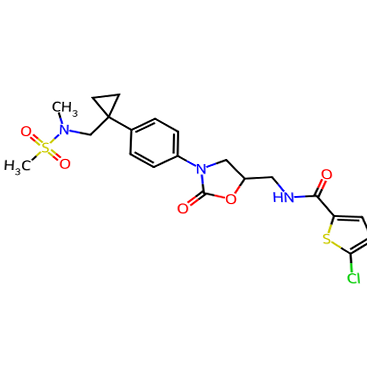 CN(CC1(c2ccc(N3CC(CNC(=O)c4ccc(Cl)s4)OC3=O)cc2)CC1)S(C)(=O)=O